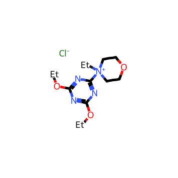 CCOc1nc(OCC)nc([N+]2(CC)CCOCC2)n1.[Cl-]